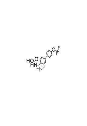 CC1(C)CCc2cc(-c3ccc(OC(F)F)cc3)ccc2[C@H]1NC(=O)O